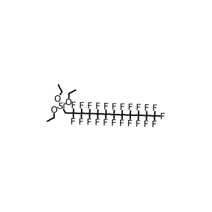 CCO[Si](CC(F)(F)C(F)(F)C(F)(F)C(F)(F)C(F)(F)C(F)(F)C(F)(F)C(F)(F)C(F)(F)C(F)(F)C(F)(F)F)(OCC)OCC